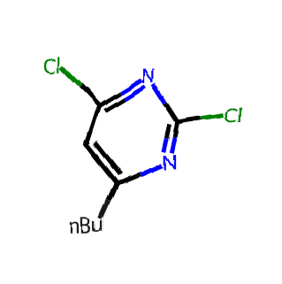 CCCCc1cc(Cl)nc(Cl)n1